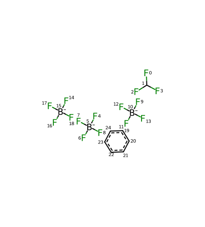 FC(F)F.F[B-](F)(F)F.F[B-](F)(F)F.F[B-](F)(F)F.c1ccccc1